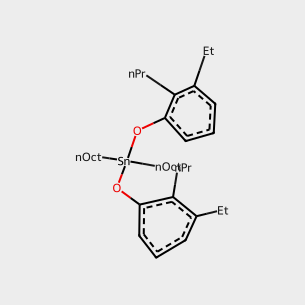 CCCCCCC[CH2][Sn]([CH2]CCCCCCC)([O]c1cccc(CC)c1CCC)[O]c1cccc(CC)c1CCC